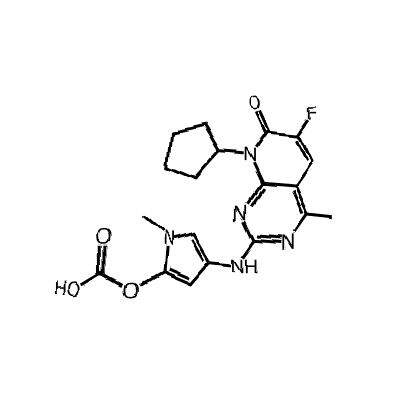 Cc1nc(Nc2cc(OC(=O)O)n(C)c2)nc2c1cc(F)c(=O)n2C1CCCC1